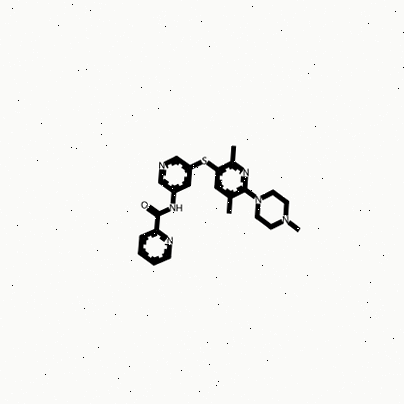 Cc1cc(Sc2cncc(NC(=O)c3ccccn3)c2)c(C)nc1N1CCN(C)CC1